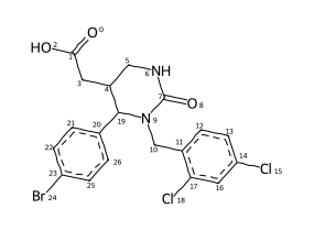 O=C(O)CC1CNC(=O)N(Cc2ccc(Cl)cc2Cl)C1c1ccc(Br)cc1